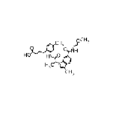 COCCNC(=O)c1ccc2c(C)cn(C(C)C(=O)Nc3cc(C)ccc3CCCC(=O)O)c2c1